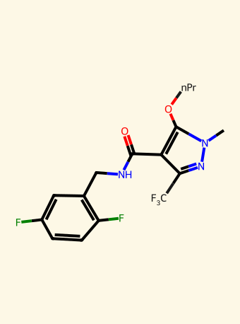 CCCOc1c(C(=O)NCc2cc(F)ccc2F)c(C(F)(F)F)nn1C